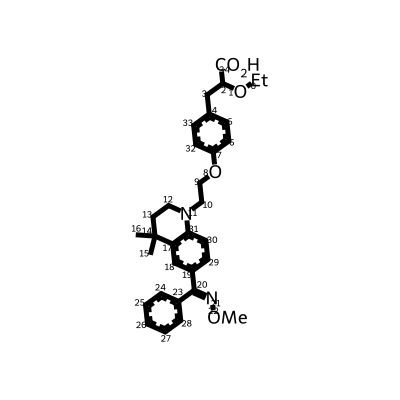 CCOC(Cc1ccc(OCCN2CCC(C)(C)c3cc(/C(=N/OC)c4ccccc4)ccc32)cc1)C(=O)O